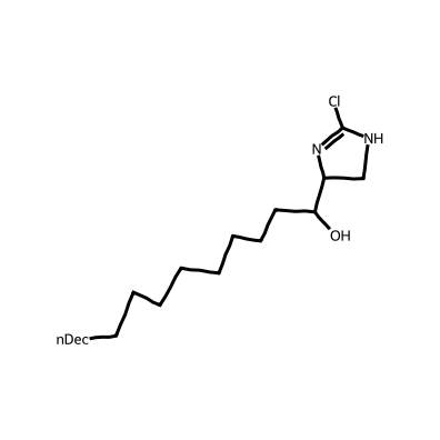 CCCCCCCCCCCCCCCCCCC(O)C1CNC(Cl)=N1